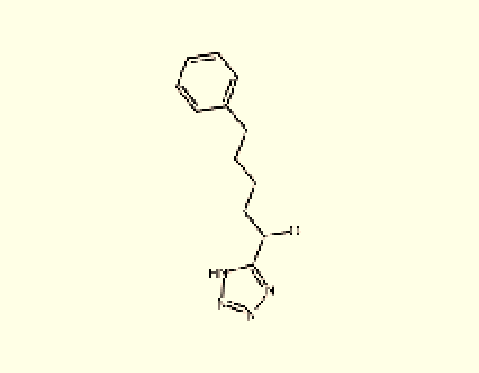 [O]C(CCCCc1ccccc1)c1nnn[nH]1